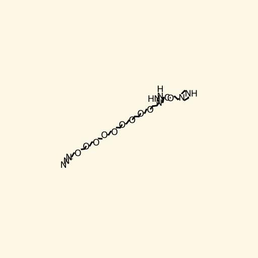 [N-]=[N+]=NCCOCCOCCOCCOCCOCCOCCOCCOCCOCCN1C=C(COCCN2CCNCC2)NN1